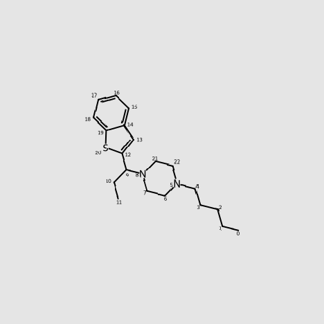 CCCCCN1CCN(C(CC)c2cc3ccccc3s2)CC1